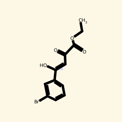 CCOC(=O)C(=O)/C=C(\O)c1cccc(Br)c1